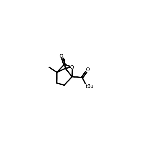 CC(C)(C)C(=O)C12CCC(C)(C(=O)O1)C2(C)C